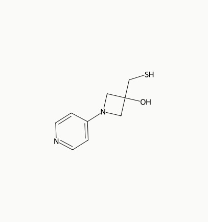 OC1(CS)CN(c2ccncc2)C1